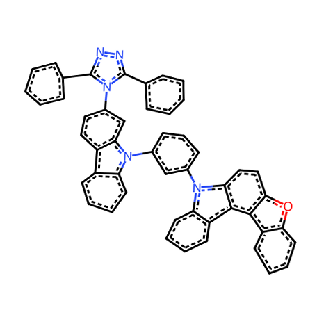 c1ccc(-c2nnc(-c3ccccc3)n2-c2ccc3c4ccccc4n(-c4cccc(-n5c6ccccc6c6c7c(ccc65)oc5ccccc57)c4)c3c2)cc1